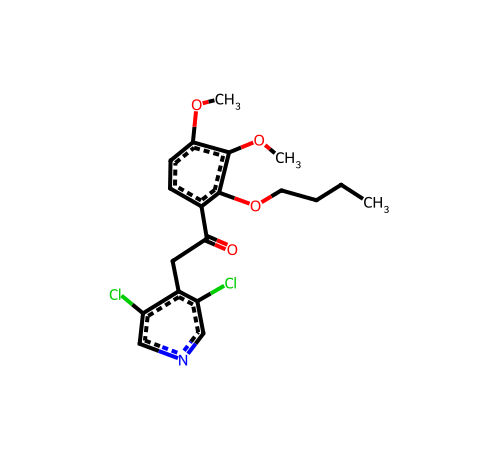 CCCCOc1c(C(=O)Cc2c(Cl)cncc2Cl)ccc(OC)c1OC